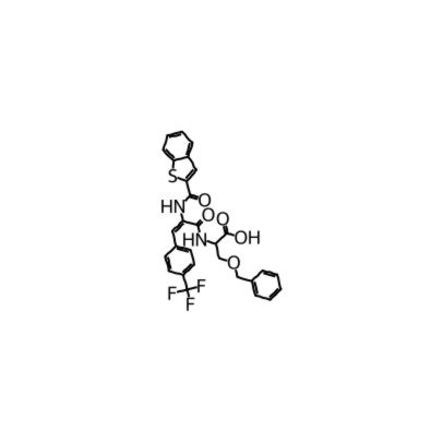 O=C(NC(COCc1ccccc1)C(=O)O)C(=Cc1ccc(C(F)(F)F)cc1)NC(=O)c1cc2ccccc2s1